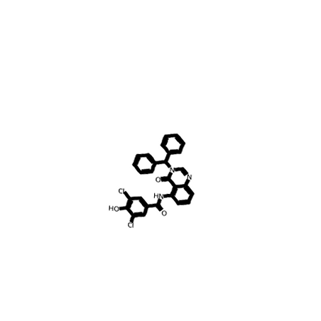 O=C(Nc1cccc2ncn(C(c3ccccc3)c3ccccc3)c(=O)c12)c1cc(Cl)c(O)c(Cl)c1